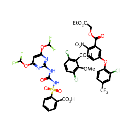 CCOC(=O)COC(=O)c1cc(Oc2ccc(C(F)(F)F)cc2Cl)ccc1[N+](=O)[O-].COc1c(Cl)ccc(Cl)c1C(=O)O.O=C(Nc1nc(OC(F)F)cc(OC(F)F)n1)NS(=O)(=O)c1ccccc1C(=O)O